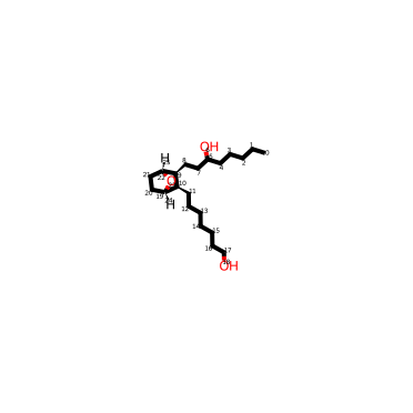 CCCCCC(O)CC[C@H]1[C@@H](CCCCCCCO)[C@H]2CC[C@@H]1O2